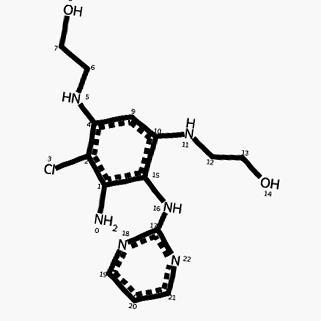 Nc1c(Cl)c(NCCO)cc(NCCO)c1Nc1ncccn1